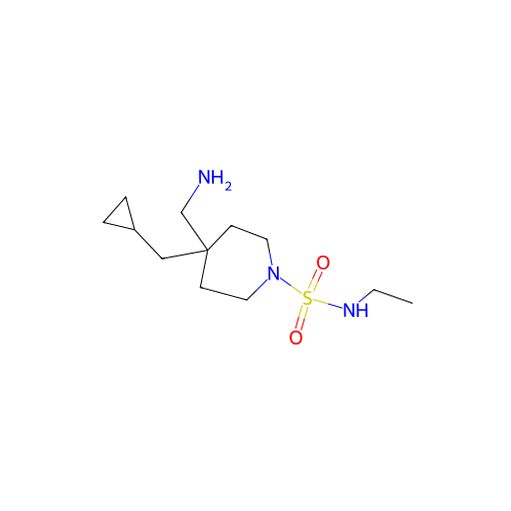 CCNS(=O)(=O)N1CCC(CN)(CC2CC2)CC1